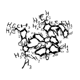 CC1=CC(C(C)(C)C)=CCC1N(c1ccc2c(c1)N(c1cccc3oc4ccccc4c13)c1cc(C)cc3c1B2c1cc(C(C)(C)C)cc2c4c(n-3c12)-c1ccccc1C4(C)C)c1ccc(C(C)(C)C)cc1C